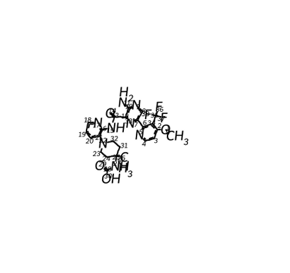 COc1ccnc(-c2cnc(N)c(C(=O)Nc3ncccc3N3CCC(C)(NC(=O)O)CC3)n2)c1C(F)(F)F